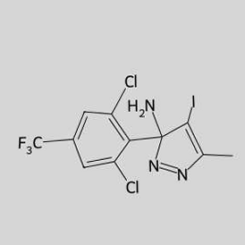 CC1=C(I)C(N)(c2c(Cl)cc(C(F)(F)F)cc2Cl)N=N1